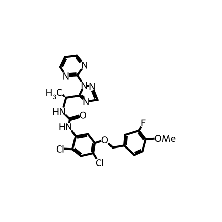 COc1ccc(COc2cc(NC(=O)N[C@@H](C)c3ncnn3-c3ncccn3)c(Cl)cc2Cl)cc1F